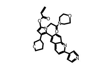 C=CC(=O)Oc1cc(C2CCCCC2)c(-c2ccc3nc(-c4ccncc4)ccc3c2)n1CC(=O)N1CCOCC1